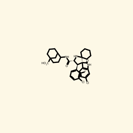 O=C(NC1CCC2(C(=O)O)CCCC1C2)[C@@H]1NC2(CCCCC2)[C@@]2(C(=O)Nc3cc(Cl)ccc32)[C@H]1c1cccc(Cl)c1F